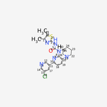 Cc1nc(NC(=O)N2c3nc(-c4cncc(Cl)c4)ccc3N3CCC[C@H]2C3)sc1C